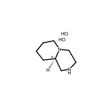 C1CCN2CCNC[C@H]2C1.Cl.Cl